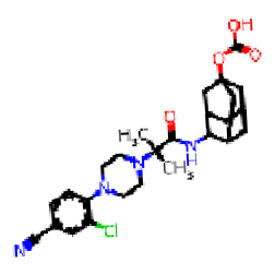 CC(C)(C(=O)NC1C2CC3CC1CC(OC(=O)O)(C3)C2)N1CCN(c2ccc(C#N)cc2Cl)CC1